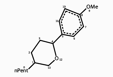 CCCCCC1CCC(c2ccc(OC)cc2)OC1